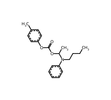 CCCCN(c1ccccc1)C(C)OC(=O)Oc1ccc(C)cc1